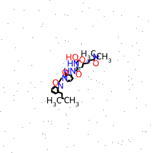 CC(C)Cc1cccc2oc(Cn3cccc(NC(=O)[C@H](CC/C=C/C(=O)N(C)C)NC(=O)O)c3=O)nc12